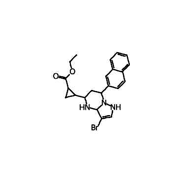 CCOC(=O)C1CC1C1CC(c2ccc3ccccc3c2)N2NC=C(Br)C2N1